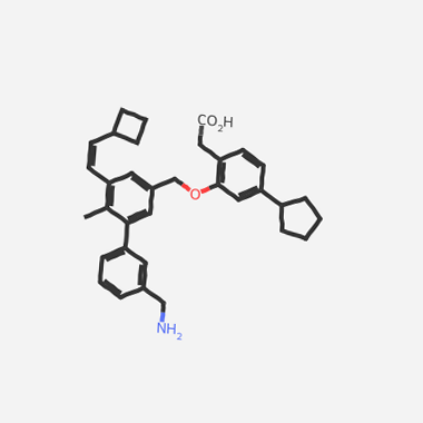 Cc1c(/C=C\C2CCC2)cc(COc2cc(C3CCCC3)ccc2CC(=O)O)cc1-c1cccc(CN)c1